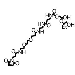 CCC(CO)OC(O)COC(=O)NCCC(=O)NCCNC(=O)CCOCCOCCNC(=O)CCN1C(=O)C=CC1=O